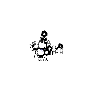 CO[C@H]1CC2C=C[C@H]3[C@H]4O[C@]2(/C(C)=C/[C@@H](C)[C@@H]([C@@H](C)O[Si](C)(C)C(C)(C)C)OC1=O)[C@@H]3[C@H](OC(=O)NS(=O)(=O)c1ccccc1)[C@@H](C)[C@H]4OC(=O)c1ccc[nH]1